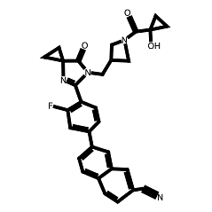 N#Cc1ccc2ccc(-c3ccc(C4=NC5(CC5)C(=O)N4CC4CN(C(=O)C5(O)CC5)C4)c(F)c3)cc2c1